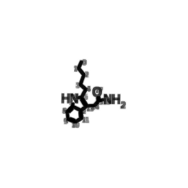 CCCCCc1[nH]c2ccccc2c1CC(N)=O